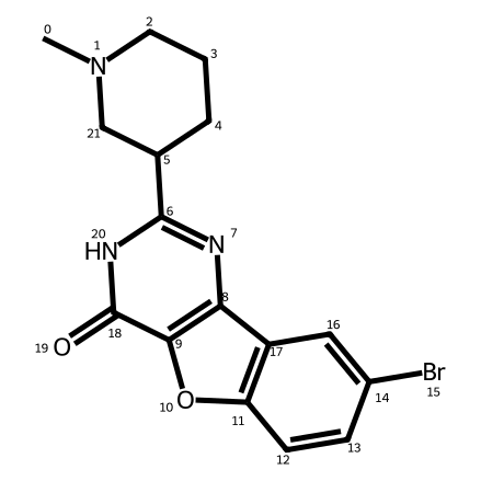 CN1CCCC(c2nc3c(oc4ccc(Br)cc43)c(=O)[nH]2)C1